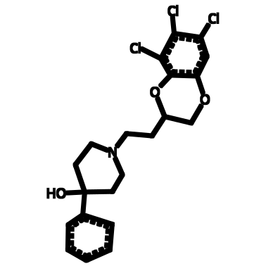 OC1(c2ccccc2)CCN(CCC2COc3cc(Cl)c(Cl)c(Cl)c3O2)CC1